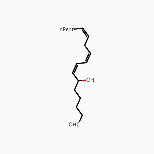 CCCCC/C=C\C/C=C\C=C/C(O)CCCCC=O